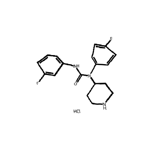 Cl.O=C(Nc1cccc(F)c1)N(c1ccc(F)cc1)C1CCNCC1